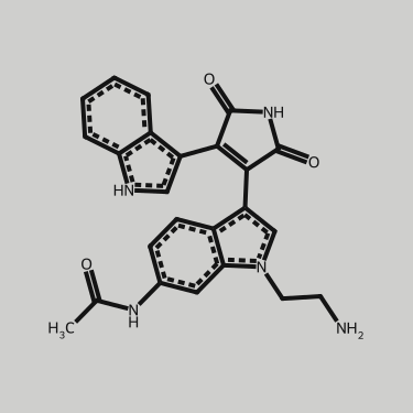 CC(=O)Nc1ccc2c(C3=C(c4c[nH]c5ccccc45)C(=O)NC3=O)cn(CCN)c2c1